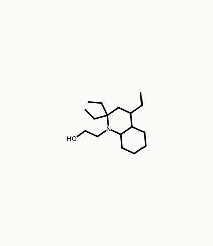 CCC1CC(CC)(CC)N(CCO)C2CCCCC12